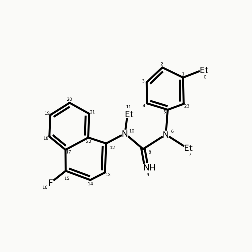 CCc1cccc(N(CC)C(=N)N(CC)c2ccc(F)c3ccccc23)c1